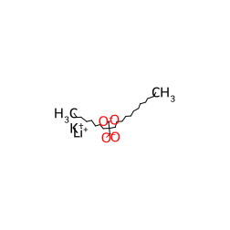 CCCCCCCCCCCCC(CCCCCCCC)(C(=O)[O-])C(=O)[O-].[K+].[Li+]